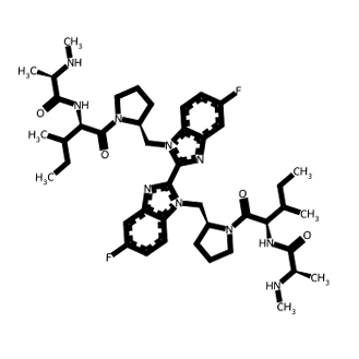 CCC(C)[C@@H](NC(=O)[C@@H](C)NC)C(=O)N1CCC[C@H]1Cn1c(-c2nc3cc(F)ccc3n2C[C@@H]2CCCN2C(=O)[C@H](NC(=O)[C@@H](C)NC)C(C)CC)nc2cc(F)ccc21